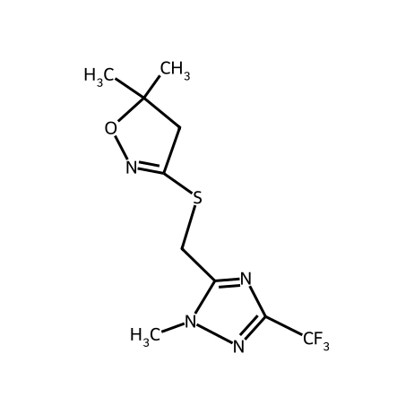 Cn1nc(C(F)(F)F)nc1CSC1=NOC(C)(C)C1